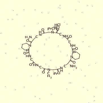 CC(C)[C@H]1C(=O)NC[C@@H](N)C(=O)N2CCCC[C@H]2C(=O)NCC(=O)NCC(=O)N(C)[C@@H](C(C)C)C(=O)NC[C@@H](N)C(=O)N2CCCC[C@H]2C(=O)NCC(=O)NCC(=O)N1C.Cl.Cl